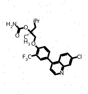 CC(C)C[C@@](C)(COc1ccc(-c2ccnc3cc(Cl)ccc23)cc1C(F)(F)F)OC(N)=O